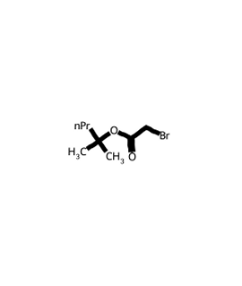 CCCC(C)(C)OC(=O)CBr